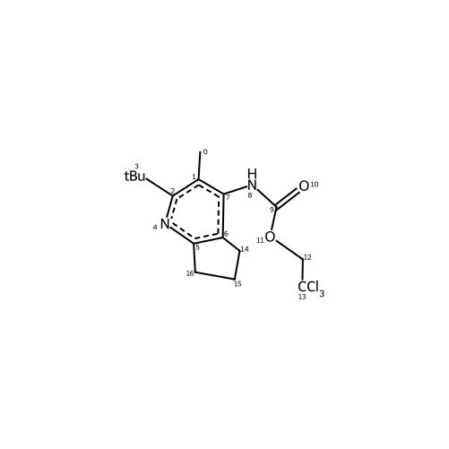 Cc1c(C(C)(C)C)nc2c(c1NC(=O)OCC(Cl)(Cl)Cl)CCC2